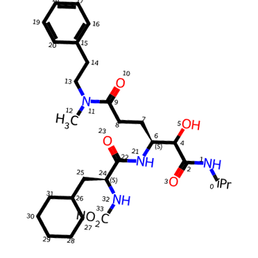 CC(C)NC(=O)C(O)[C@H](CCC(=O)N(C)CCc1ccccc1)NC(=O)[C@H](CC1CCCCC1)NC(=O)O